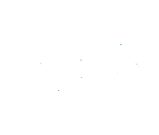 CCc1ccc2c(c1)CCc1cc(-c3ccc(C#N)c(F)c3)ccc1-2